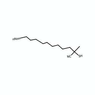 CCCCCCCCCCCCCCCCCCC(C)(S)C#N